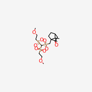 COCCS(=O)(=O)C(S(=O)(=O)CCOC)S(=O)(=O)CC12CCC(CC1=O)C2(C)C